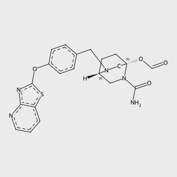 NC(=O)N1C[C@@H]2CC[C@]1(OC=O)CN2Cc1ccc(Oc2nc3ncccc3s2)cc1